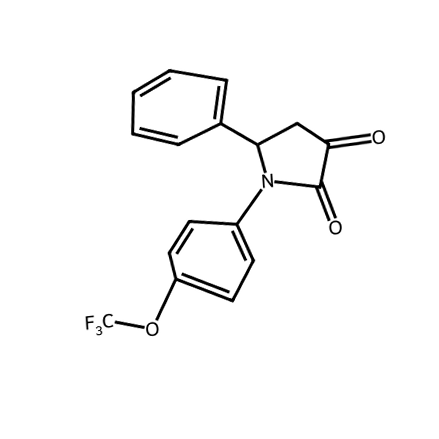 O=C1CC(c2ccccc2)N(c2ccc(OC(F)(F)F)cc2)C1=O